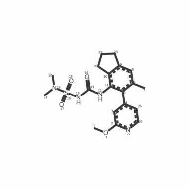 COc1cc(-c2c(C)cc3c(c2NC(=O)NS(=O)(=O)N(C)C)CCC3)ccn1